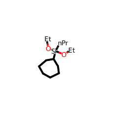 CCC[Si](OCC)(OCC)C1CCCCCC1